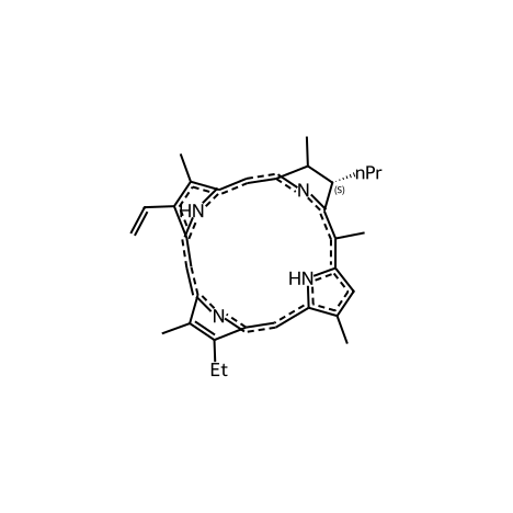 C=Cc1c(C)c2cc3nc(c(C)c4cc(C)c(cc5nc(cc1[nH]2)C(C)=C5CC)[nH]4)[C@@H](CCC)C3C